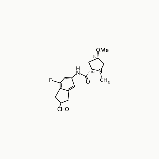 CO[C@@H]1C[C@@H](C(=O)Nc2cc(F)c3c(c2)CC(C=O)C3)N(C)C1